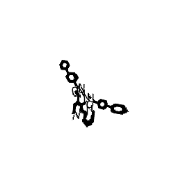 c1ccc(-c2ccc(-c3nnc(-c4ccnc(-c5ccccn5)c4-c4nnc(-c5ccc(-c6ccccc6)cc5)o4)o3)cc2)cc1